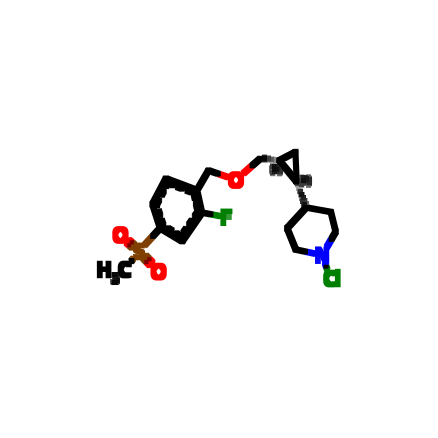 CS(=O)(=O)c1ccc(COC[C@@H]2C[C@@H]2C2CCN(Cl)CC2)c(F)c1